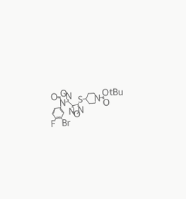 CC(C)(C)OC(=O)N1CCC(Sc2nonc2-c2noc(=O)n2-c2ccc(F)c(Br)c2)CC1